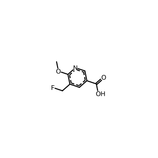 COc1ncc(C(=O)O)cc1CF